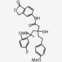 COc1ccc(CCC(O)(CC(=O)Nc2ccc3c(c2)COC3=O)CC(C)(C)c2cc(F)ccc2OC)cc1